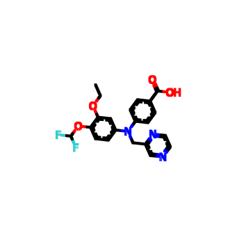 CCOc1cc(N(Cc2cnccn2)c2ccc(C(=O)O)cc2)ccc1OC(F)F